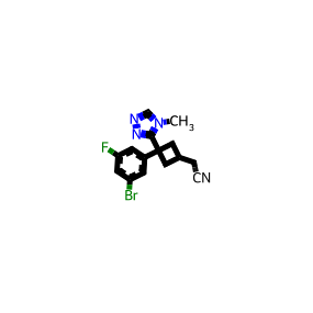 Cn1cnnc1C1(c2cc(F)cc(Br)c2)CC(CC#N)C1